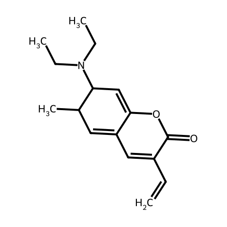 C=Cc1cc2c(oc1=O)=CC(N(CC)CC)C(C)C=2